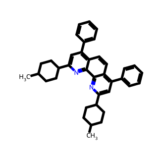 CC1CCC(c2cc(-c3ccccc3)c3ccc4c(-c5ccccc5)cc(C5CCC(C)CC5)nc4c3n2)CC1